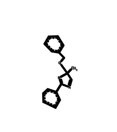 CC1(OCc2ccccc2)C=NC(c2ccccc2)=N1